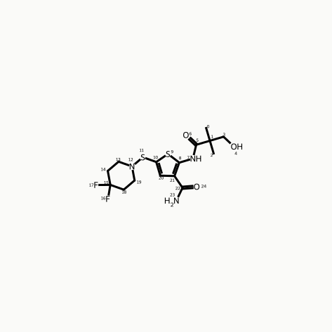 CC(C)(CO)C(=O)Nc1sc(SN2CCC(F)(F)CC2)cc1C(N)=O